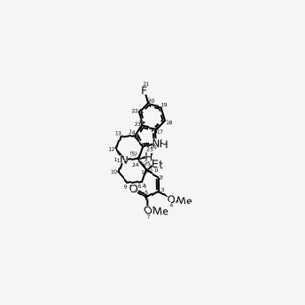 CC[C@@]1(C=C(OC)C(=O)OC)CCCN2CCc3c([nH]c4ccc(F)cc34)[C@@H]21